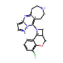 Clc1cccc2c1OCC1CN(c3c4c(nc5ccnn35)CCNCC4)C21